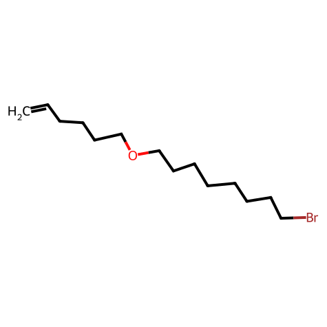 C=CCCCCOCCCCCCCCBr